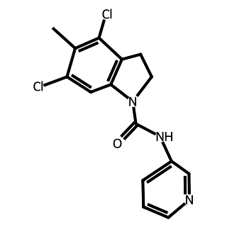 Cc1c(Cl)cc2c(c1Cl)CCN2C(=O)Nc1cccnc1